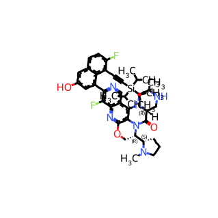 CC(C)[Si](C#Cc1c(F)ccc2cc(O)cc(-c3ncc4c5c6c(nc4c3F)OC[C@@H]([C@@H]3CCCN3C)N6C(=O)[C@H]3CN[C@H](C)CN53)c12)(C(C)C)C(C)C